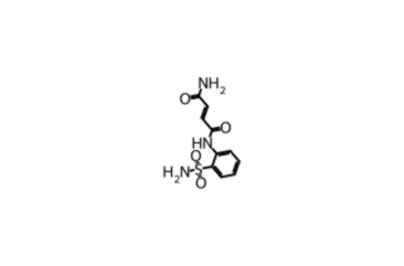 NC(=O)C=CC(=O)Nc1ccccc1S(N)(=O)=O